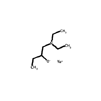 CCC([O-])CN(CC)CC.[Na+]